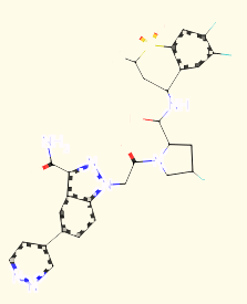 CC1CC(NC(O)C2CC(F)CN2C(=O)Cn2nc(C(N)=O)c3cc(-c4ccnnc4)ccc32)c2cc(F)c(F)cc2S1(=O)=O